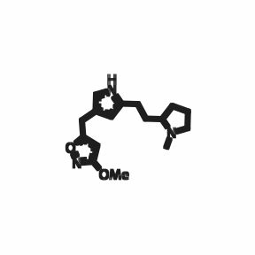 COc1cc(Cc2c[nH]c(CCC3CCCN3C)c2)on1